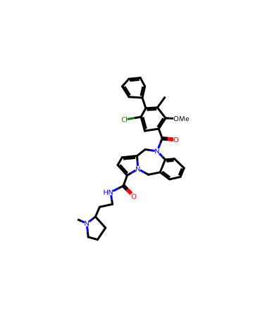 COc1c(C(=O)N2Cc3ccc(C(=O)NCCC4CCCN4C)n3Cc3ccccc32)cc(Cl)c(-c2ccccc2)c1C